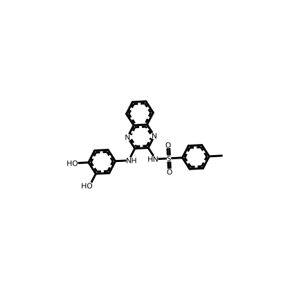 Cc1ccc(S(=O)(=O)Nc2nc3ccccc3nc2Nc2ccc(O)c(O)c2)cc1